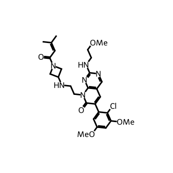 COCCNc1ncc2cc(-c3cc(OC)cc(OC)c3Cl)c(=O)n(CCNC3CN(C(=O)C=C(C)C)C3)c2n1